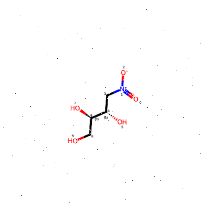 O=[N+]([O-])C[C@H](O)[C@H](O)CO